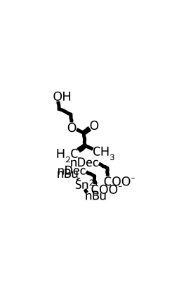 C=C(C)C(=O)OCCO.CCCCCCCCCCCC(=O)[O-].CCCCCCCCCCCC(=O)[O-].CCC[CH2][Sn+2][CH2]CCC